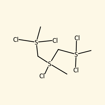 CS(Cl)(Cl)CS(C)(Cl)CS(C)(Cl)Cl